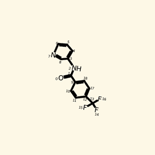 O=C(Nc1cccnc1)c1ccc(C(F)(F)F)cc1